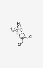 CC1(C)OC2C3C=CC(C(CCl)C3CCl)C2O1